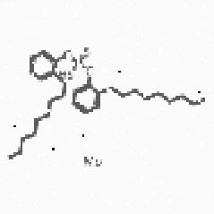 CCCCCCCCCc1ccccc1OP(=S)(S)Oc1ccccc1CCCCCCCCC.[Mo]